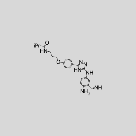 CC(C)C(=O)NCCCOc1ccc(-c2nnc(Nc3ccc(N)c(C=N)c3)[nH]2)cc1